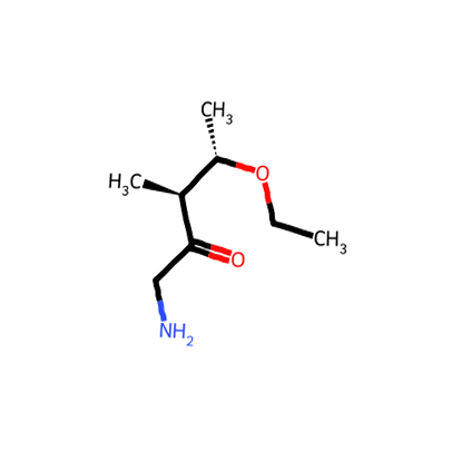 CCO[C@@H](C)[C@H](C)C(=O)CN